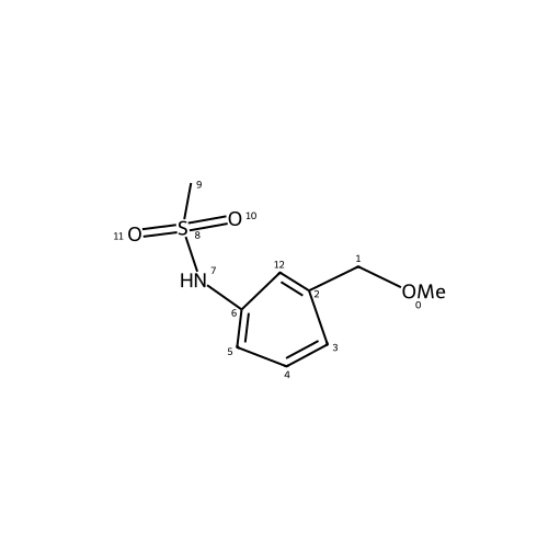 COCc1cccc(NS(C)(=O)=O)c1